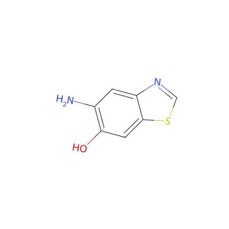 Nc1cc2ncsc2cc1O